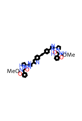 COC(=O)N[C@H](C(=O)N1CCC[C@H]1c1nc(-c2cnc3cc(C#Cc4ccc(-c5cnc([C@@H]6CCCN6C(=O)[C@@H](NC(=O)OC)c6ccccc6)[nH]5)cc4)ccc3c2)c[nH]1)c1ccccc1